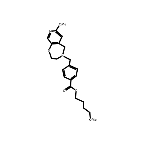 COCCCCOC(=O)c1ccc(CN2CCSc3cnc(OC)cc3C2)cc1